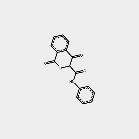 O=C1OC(C(=O)Nc2ccccc2)C(=O)c2ccccc21